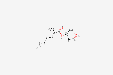 CCCCCC(C)C(=O)OC1CCOCC1